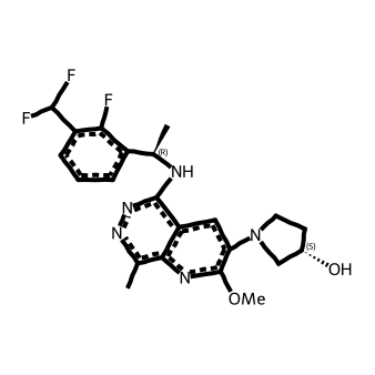 COc1nc2c(C)nnc(N[C@H](C)c3cccc(C(F)F)c3F)c2cc1N1CC[C@H](O)C1